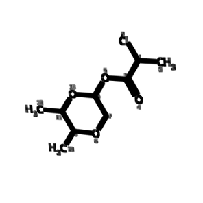 CC(Cl)C(=O)OC1COC(C)C(C)O1